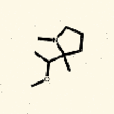 COC(C)C1(C)CCCN1C